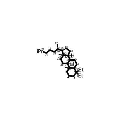 CCC1(CC)CCC[C@@]2(C)C1CC=C1[C@@H]3CC[C@H]([C@H](C)CCCC(C)C)[C@@]3(C)CC[C@@H]12